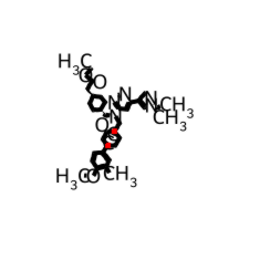 CCOC(=O)C[C@H]1CC[C@H](C(=O)N(CC23CCC(c4ccc(OC)c(C)c4)(CC2)CC3)c2cc(-c3cnn(C(C)C)c3)ncn2)CC1